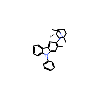 Cc1cc2c(cc1N1[C@@H](C)C3CCC1(C)CC3)c1ccccc1n2-c1ccccc1